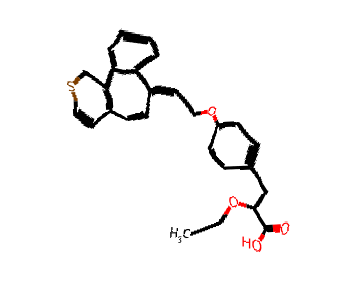 CCOC(Cc1ccc(OCC=C2C=CC3=C(CSC=C3)c3ccccc32)cc1)C(=O)O